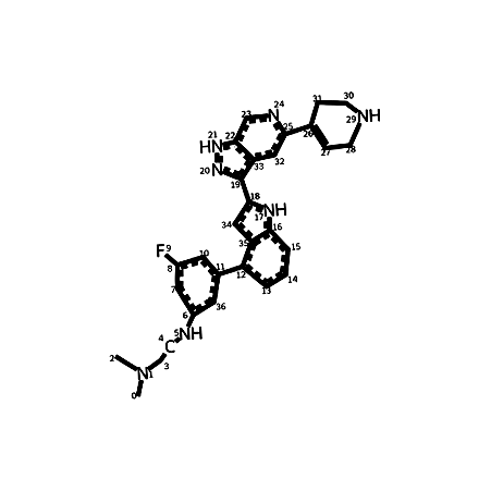 CN(C)CCNc1cc(F)cc(-c2cccc3[nH]c(-c4n[nH]c5cnc(C6=CCNCC6)cc45)cc23)c1